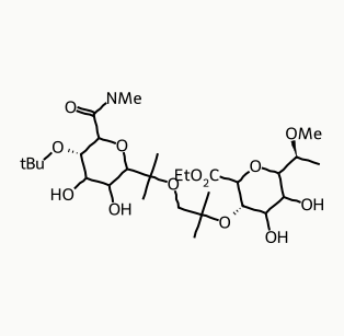 CCOC(=O)C1OC([C@H](C)OC)C(O)C(O)[C@@H]1OC(C)(C)COC(C)(C)C1OC(C(=O)NC)[C@@H](OC(C)(C)C)C(O)C1O